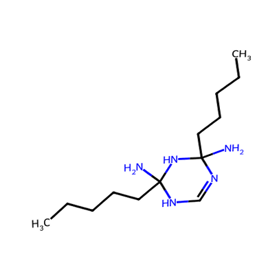 CCCCCC1(N)N=CNC(N)(CCCCC)N1